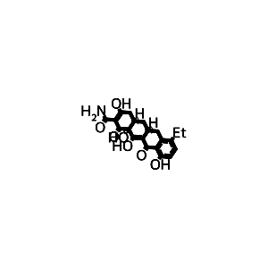 CCc1ccc(O)c2c1C[C@H]1C[C@H]3CC(O)=C(C(N)=O)C(=O)[C@@]3(O)C(O)=C1C2=O